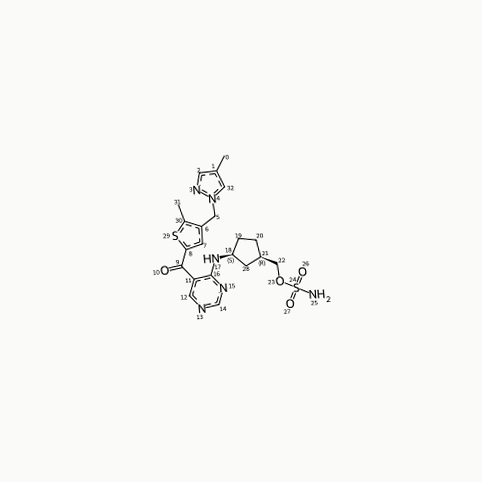 Cc1cnn(Cc2cc(C(=O)c3cncnc3N[C@H]3CC[C@@H](COS(N)(=O)=O)C3)sc2C)c1